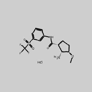 CO[C@@H]1CC[C@@H](C(=O)Nc2cccc(S(=O)(=O)C(F)(F)F)c2)[C@H]1N.Cl